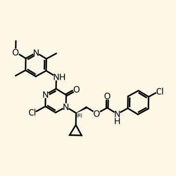 COc1nc(C)c(Nc2nc(Cl)cn([C@@H](COC(=O)Nc3ccc(Cl)cc3)C3CC3)c2=O)cc1C